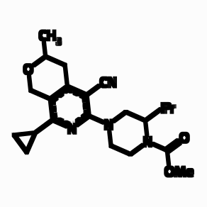 COC(=O)N1CCN(c2nc(C3CC3)c3c(c2C#N)CC(C)OC3)CC1C(C)C